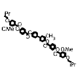 COc1cc(OCCC(C)C)ccc1C(=O)Oc1ccc(C(=O)Oc2ccc(-c3ccc(OC(=O)c4ccc(OC(=O)c5ccc(OCCC(C)C)cc5OC)cc4)c(C)c3)cc2)cc1